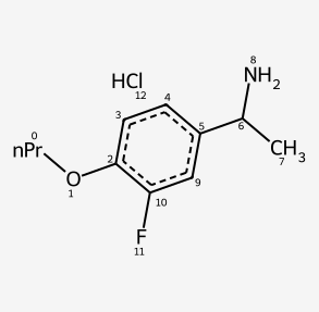 CCCOc1ccc(C(C)N)cc1F.Cl